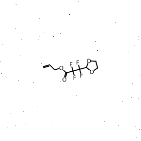 C=CCOC(=O)C(F)(F)C(F)(F)C1OCCO1